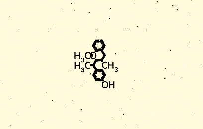 COc1ccccc1CC(C)CC(C)c1ccc(O)cc1